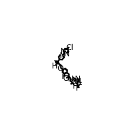 CC1(C)CN(C(=O)Cc2ccc(OCC3[C@@H]4CC34C3CCN(c4ncc(Cl)cn4)CC3)cc2F)Cc2nnc(C(F)(F)F)n21